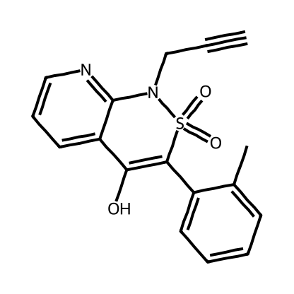 C#CCN1c2ncccc2C(O)=C(c2ccccc2C)S1(=O)=O